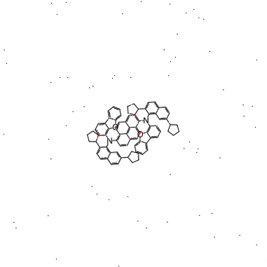 c1ccc2c(c1)oc1c(N(c3c(C4CCCC4)ccc4ccc(C5CCCC5)cc34)c3ccc4ccc5c(N(c6c(C7CCCC7)ccc7ccc(C8CCCC8)cc67)c6cccc7c6oc6ccccc67)ccc6ccc3c4c65)cccc12